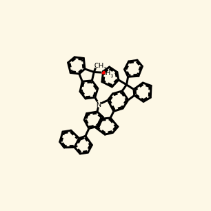 CC1(C)c2ccccc2-c2ccc(N(c3ccc(-c4cccc5ccccc45)cc3)c3cc4c(cc3-c3ccccc3)-c3ccccc3C4(c3ccccc3)c3ccccc3)cc21